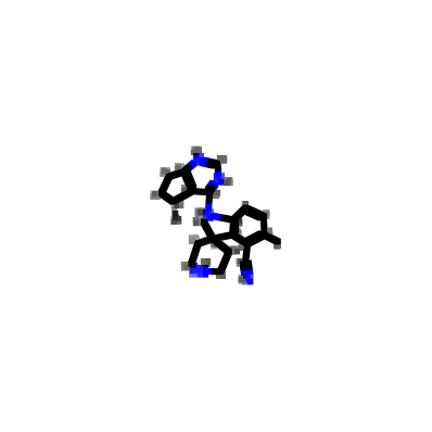 Cc1ccc2c(c1C#N)C1(CCNCC1)CN2c1ncnc2c1[C@H](C)CC2